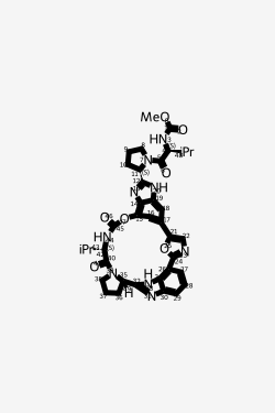 COC(=O)N[C@H](C(=O)N1CCC[C@H]1c1nc2c3cc(cc2[nH]1)-c1cnc(o1)-c1cccc2nc([nH]c12)[C@@H]1CCCN1C(=O)[C@H](C(C)C)NC(=O)O3)C(C)C